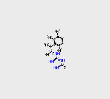 [2H]c1ccc([2H])c(C([2H])C([2H])NC(=N)NC(C)=N)c1[2H]